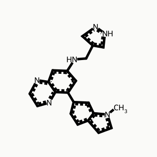 Cn1ccc2ccc(-c3cc(NCc4cn[nH]c4)cc4nccnc34)cc21